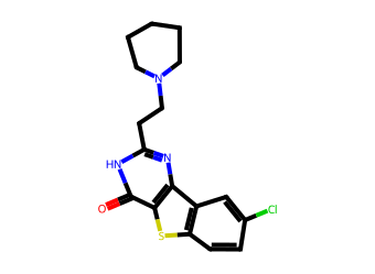 O=c1[nH]c(CCN2CCCCC2)nc2c1sc1ccc(Cl)cc12